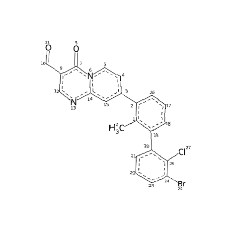 Cc1c(-c2ccn3c(=O)c(C=O)cnc3c2)cccc1-c1cccc(Br)c1Cl